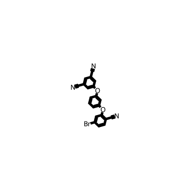 N#Cc1cc(C#N)cc(Oc2cccc(Oc3cc(Br)ccc3C#N)c2)c1